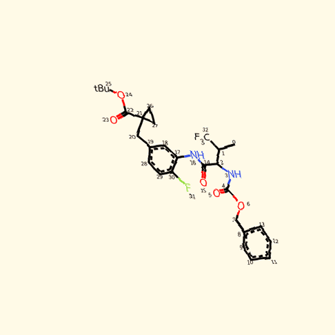 CC(C(NC(=O)OCc1ccccc1)C(=O)Nc1cc(CC2(C(=O)OC(C)(C)C)CC2)ccc1F)C(F)(F)F